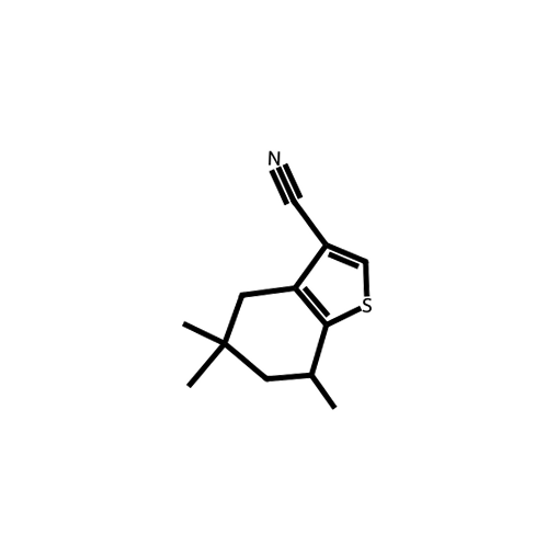 CC1CC(C)(C)Cc2c(C#N)csc21